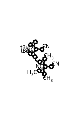 Cc1ccc2c(c1)c1cc(C)ccc1n2-c1cc(-c2cccc(C#N)c2)cc(-n2c3ccc(C)cc3c3cc(Cc4ccc5c(c4)c4ccc(C(C)(C)C)cc4n5-c4cc(-c5cccc(C#N)c5)cc(-n5c6ccccc6c6ccc(C(C)(C)C)cc65)c4C#N)ccc32)c1C#N